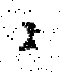 CCCc1c(OCCCNc2ccc(C#N)cc2C)ccc2c(C(F)(F)F)noc12